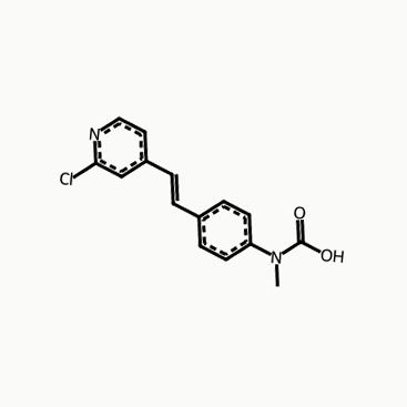 CN(C(=O)O)c1ccc(/C=C/c2ccnc(Cl)c2)cc1